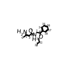 C/C(N)=C/C(=O)NCC(OCCI)c1ccccc1